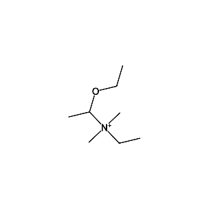 CCOC(C)[N+](C)(C)CC